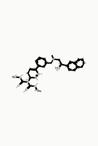 CN(Cc1cccc(C2=CCC(N(C(=O)OC(C)(C)C)C(=O)OC(C)(C)C)N=N2)c1)CC(O)c1ccc2ccccc2c1